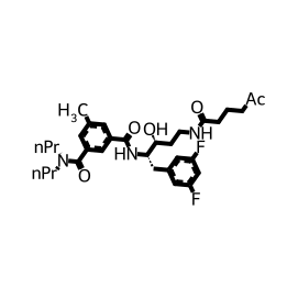 CCCN(CCC)C(=O)c1cc(C)cc(C(=O)N[C@@H](Cc2cc(F)cc(F)c2)[C@H](O)CCNC(=O)CCCC(C)=O)c1